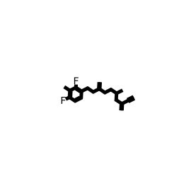 C#CC(=C)CC(C)CCC(=C)CCc1ccc(F)c(C)c1F